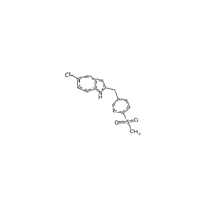 CS(=O)(=O)c1ccc(Cc2cc3cc(Cl)ccc3[nH]2)cc1